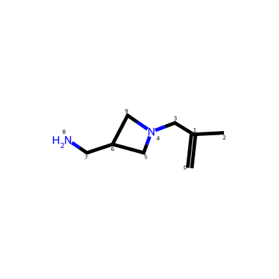 C=C(C)CN1CC(CN)C1